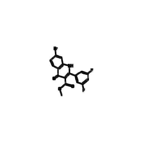 COC(=O)c1c(-c2cc(F)cc(F)c2)[nH]c2cc(Br)ccc2c1=O